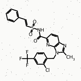 Cc1nc2ccc(C(=O)NS(=O)(=O)/C=C/c3ccccc3)nc2n1Cc1ccc(C(F)(F)F)cc1Cl